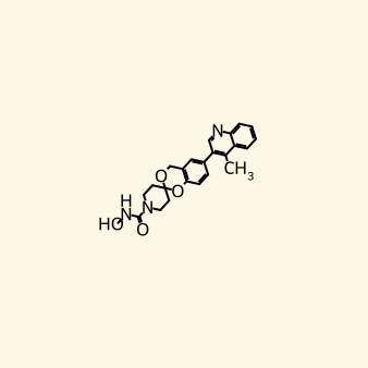 Cc1c(-c2ccc3c(c2)COC2(CCN(C(=O)NO)CC2)O3)cnc2ccccc12